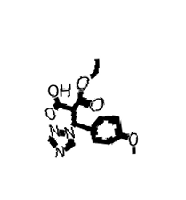 CCOC(=O)C(C(=O)O)C(c1ccc(OC)cc1)n1cncn1